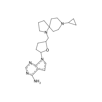 Nc1ncnc2c1ccn2C1CCC(CN2CCCC23CCN(C2CC2)CC3)O1